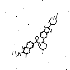 Cc1cc2cc(C(=O)N3C[C@@H](C)CC[C@@H]3c3ccc4sc(C5CCN(I)CC5)nc4c3)ccc2nc1N